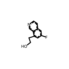 OCCc1cc(F)cc2ccncc12